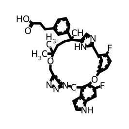 CC1(C)CCC(C)(c2cccc(CCC(=O)O)c2)c2cnc([nH]2)-c2cc(ccc2F)Oc2c(F)cc3[nH]ccc3c2Cn2cc(nn2)CO1